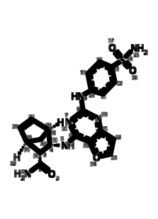 NC(=O)[C@H]1[C@@H](Nc2nc(Nc3ccc(S(N)(=O)=O)cc3)nc3ccoc23)[C@@H]2C=C[C@H]1C2